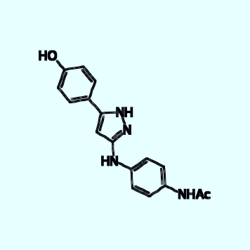 CC(=O)Nc1ccc(Nc2cc(-c3ccc(O)cc3)[nH]n2)cc1